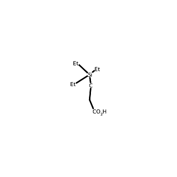 CC[Si](CC)(CC)CCC(=O)O